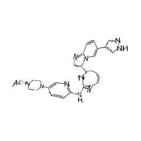 CC(=O)N1CCN(c2ccc(Nc3nccc(-c4cnc5ccc(-c6cn[nH]c6)cn45)n3)nc2)CC1